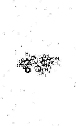 CC[C@H](C)[C@@H]([C@@H](CC(=O)N1CCC[C@H]1[C@H](OC)[C@@H](C)C(=O)N[C@@H](Cc1ccccc1)C(=O)O)OC)N(C)C(=O)[C@@H](NC(=O)C(CO)N(C)C)C(C)C